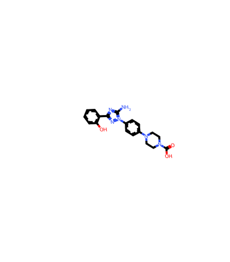 Nc1nc(-c2ccccc2O)nn1-c1ccc(N2CCN(C(=O)O)CC2)cc1